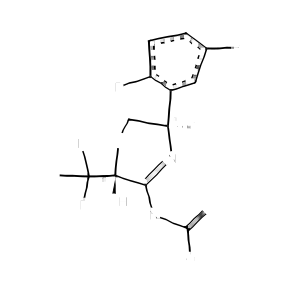 C[C@@]1(c2cc(Br)ccc2F)CO[C@@](C)(C(F)(F)F)C(NC(=O)O)=N1